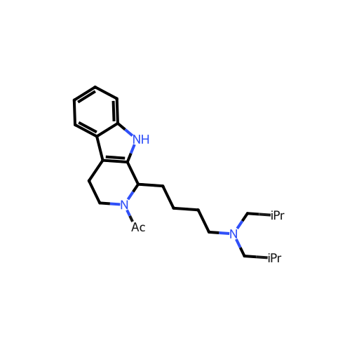 CC(=O)N1CCc2c([nH]c3ccccc23)C1CCCCN(CC(C)C)CC(C)C